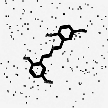 COc1ccc(OC(C)=O)c(C=NN=Cc2cc(OC)ccc2OC(C)=O)c1